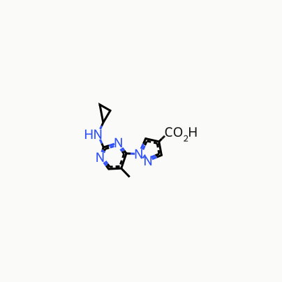 Cc1cnc(NC2CC2)nc1-n1cc(C(=O)O)cn1